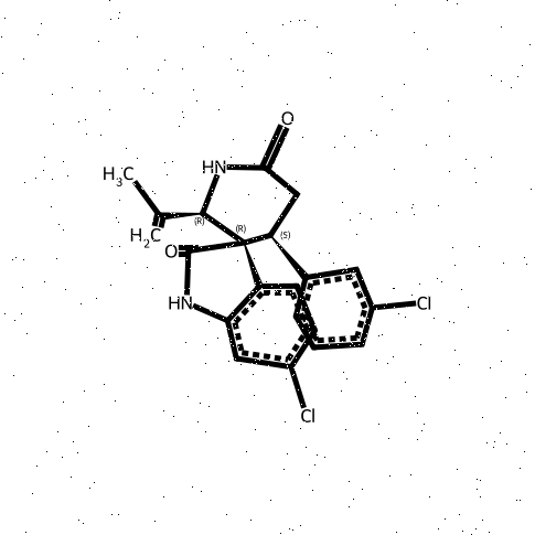 C=C(C)[C@H]1NC(=O)C[C@@H](c2cccc(Cl)c2)[C@]12C(=O)Nc1cc(Cl)ccc12